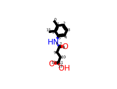 Cc1cccc(NC(=O)CCC(=O)O)c1C